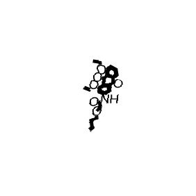 CCCCOCC(=O)Nc1cc(OCC)c2c(c1)C(=O)c1cccc(OCC)c1C2=O